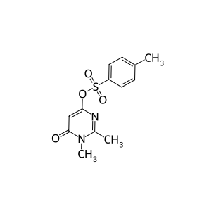 Cc1ccc(S(=O)(=O)Oc2cc(=O)n(C)c(C)n2)cc1